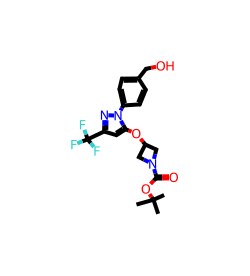 CC(C)(C)OC(=O)N1CC(Oc2cc(C(F)(F)F)nn2-c2ccc(CO)cc2)C1